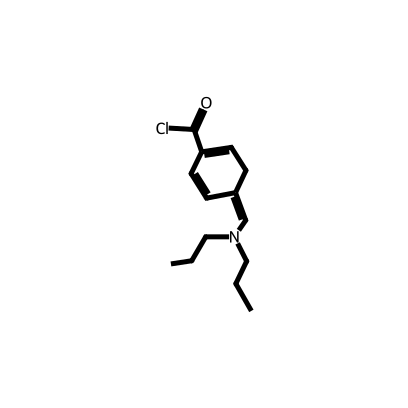 CCCN(C=C1C=CC(C(=O)Cl)=CC1)CCC